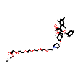 Cc1cc(C)c(C2=C(OCc3ccccc3)C3(CCC(OC4CCN(CCOCCOCCOCCOCCOCC(=O)OC(C)(C)C)CC4)CC3)OC2=O)c(C)c1